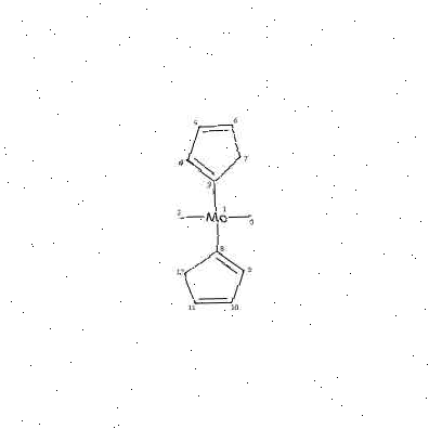 [CH3][Mo]([CH3])([C]1=CC=CC1)[C]1=CC=CC1